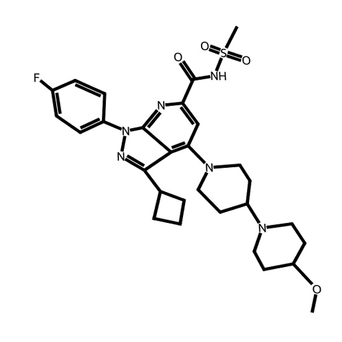 COC1CCN(C2CCN(c3cc(C(=O)NS(C)(=O)=O)nc4c3c(C3CCC3)nn4-c3ccc(F)cc3)CC2)CC1